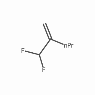 C=C(CCC)C(F)F